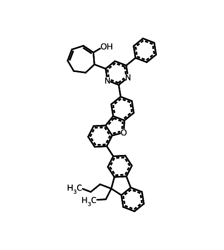 CCCC1(CC)c2ccccc2-c2ccc(-c3cccc4c3oc3ccc(-c5nc(-c6ccccc6)cc(C6CCC=CC=C6O)n5)cc34)cc21